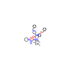 CC(C)C[C@H](NC(=O)N1CCCCCC1)C(=O)N[C@@H](Cc1ccc(OCc2ccccc2)cc1)C(=O)NC1CCN(Cc2ccccc2)CC1